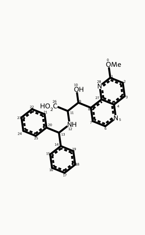 COc1ccc2nccc(C(O)C(NC(c3ccccc3)c3ccccc3)C(=O)O)c2n1